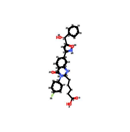 O=C(O)CCCCc1nc2cc(-c3cc([C@H](O)c4ccccc4)on3)ccc2c(=O)n1-c1ccc(F)cc1